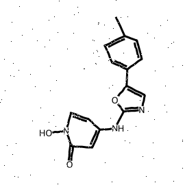 Cc1ccc(-c2cnc(Nc3ccn(O)c(=O)c3)o2)cc1